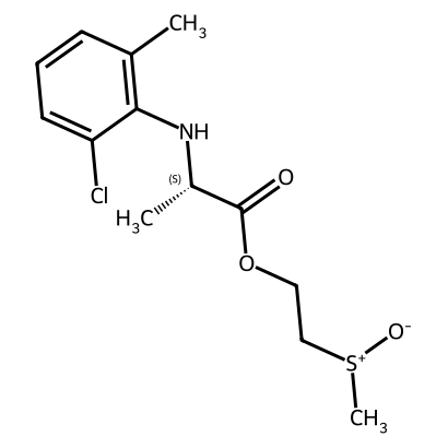 Cc1cccc(Cl)c1N[C@@H](C)C(=O)OCC[S+](C)[O-]